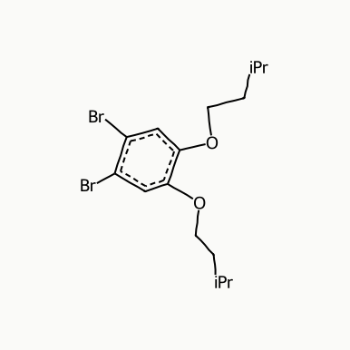 CC(C)CCOc1cc(Br)c(Br)cc1OCCC(C)C